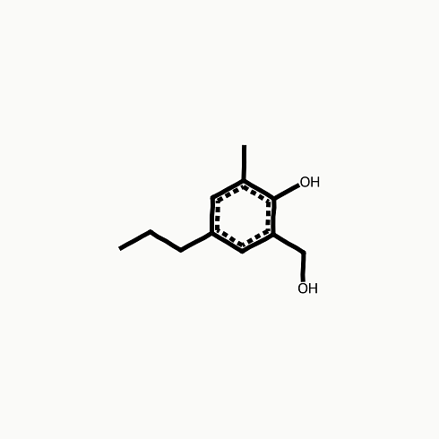 CCCc1cc(C)c(O)c(CO)c1